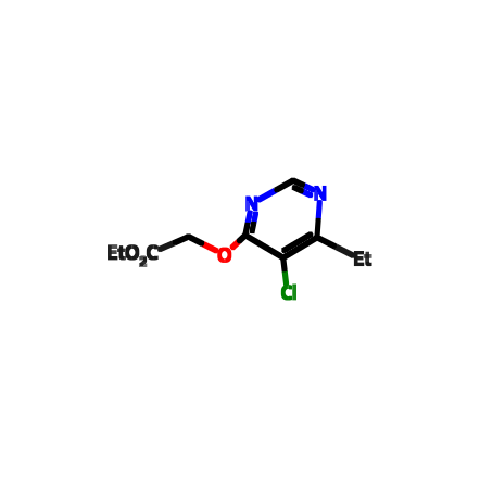 CCOC(=O)COc1ncnc(CC)c1Cl